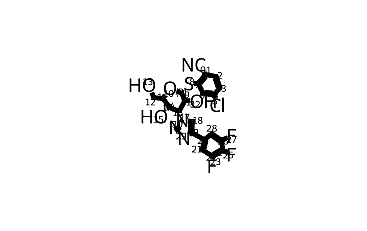 N#Cc1ccc(Cl)cc1S[C@H]1OC(CO)[C@H](O)C(n2cc(-c3cc(F)c(F)c(F)c3)nn2)C1O